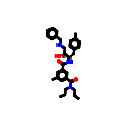 CCCN(CCC)C(=O)c1cc(C)cc(C(=O)N[C@@H](Cc2ccc(C)cc2)[C@H](O)CNCc2ccccc2)c1